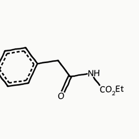 CCOC(=O)NC(=O)Cc1ccccc1